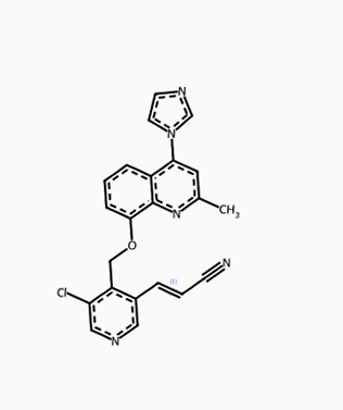 Cc1cc(-n2ccnc2)c2cccc(OCc3c(Cl)cncc3/C=C/C#N)c2n1